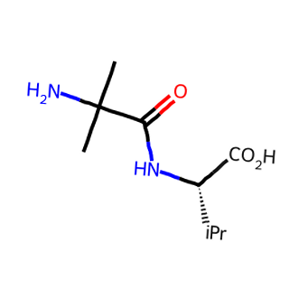 CC(C)[C@H](NC(=O)C(C)(C)N)C(=O)O